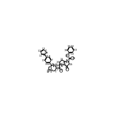 CC(C)CC(NC(=O)c1ccc(-c2cccs2)cc1)C(=O)N1CCC2C1C(=O)CN2C(=O)Oc1ccccc1